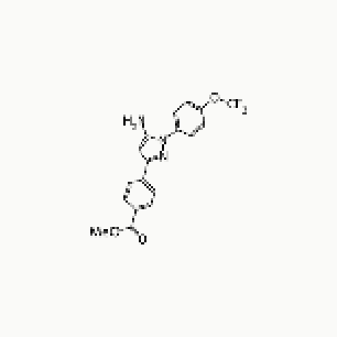 COC(=O)c1ccc(-c2cc(N)n(-c3ccc(OC(F)(F)F)cc3)n2)cc1